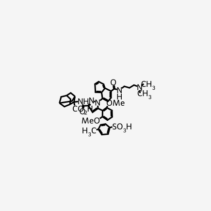 COc1cccc(OC)c1-c1cc(C(=O)NC2(C(=O)O)C3CC4CC(C3)CC2C4)nn1-c1ccc(C(=O)NCCCN(C)C)c2ccccc12.Cc1ccc(S(=O)(=O)O)cc1